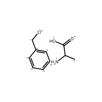 CC(N)C(=O)O.ClCc1ccccc1